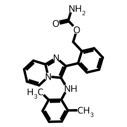 Cc1cccc(C)c1Nc1c(-c2ccccc2COC(N)=O)nc2ccccn12